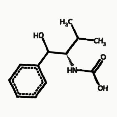 CC(C)[C@H](NC(=O)O)C(O)c1ccccc1